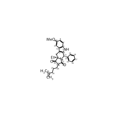 CC[C@@]12Cc3c([nH]c4ccc(OC)cc34)[C@@H](c3ccccc3)N1C(=O)N(CCCN(C)C)C2=O